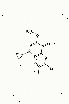 Cc1cc2c(cc1Cl)c(=O)c(OC(=O)O)cn2C1CC1